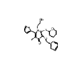 Cc1c(-c2cccs2)n(CCO)c(OC2CCCCO2)c(OCc2ccccc2)c1=O